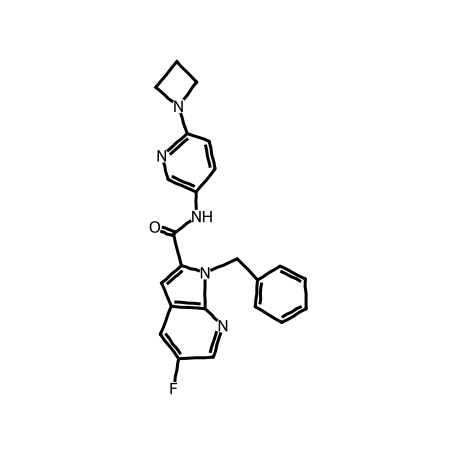 O=C(Nc1ccc(N2CCC2)nc1)c1cc2cc(F)cnc2n1Cc1ccccc1